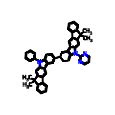 CC1(C)c2ccccc2-c2cc3c4c(n(-c5ncccn5)c3cc21)=CCC(c1ccc2c(c1)c1cc3c(cc1n2-c1ccccc1)C(C)(C)c1ccccc1-3)C=4